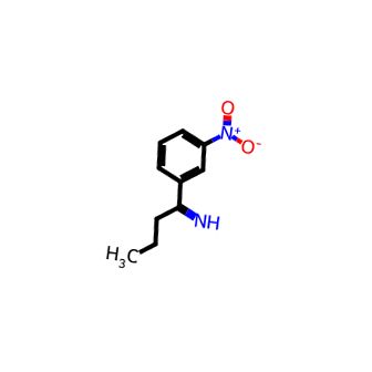 CCCC(=N)c1cccc([N+](=O)[O-])c1